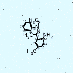 CCN(/N=C(\C)c1cc(C)ccc1N)c1ccccc1